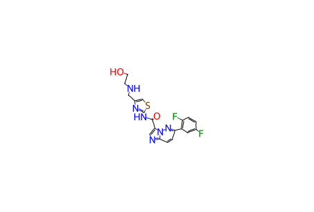 O=C(Nc1nc(CNCCO)cs1)c1cnc2ccc(-c3cc(F)ccc3F)nn12